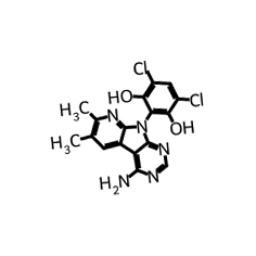 Cc1cc2c3c(N)ncnc3n(-c3c(O)c(Cl)cc(Cl)c3O)c2nc1C